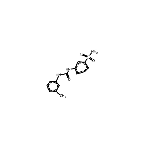 Cc1cccc(NC(=O)Nc2cccc(S(N)(=O)=O)c2)c1